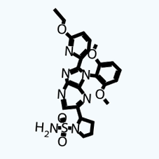 CCOc1cccc(-c2nc3ncc(C4CCCN4S(N)(=O)=O)nc3n2-c2c(OC)cccc2OC)n1